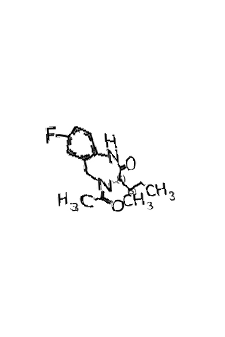 CC[C@H](C)[C@H]1C(=O)Nc2ccc(F)cc2CN1C(C)=O